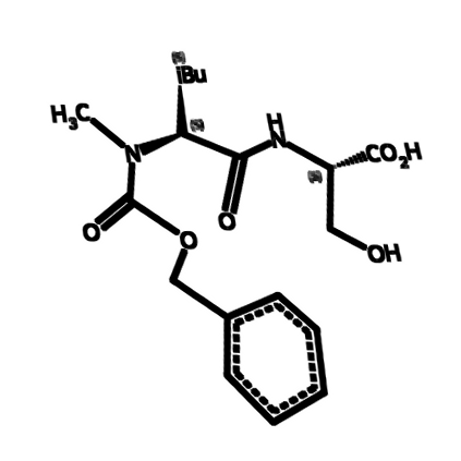 CC[C@H](C)[C@@H](C(=O)N[C@@H](CO)C(=O)O)N(C)C(=O)OCc1ccccc1